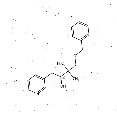 CC(C)(COCc1ccccc1)[C@@H](O)Cc1cccnc1